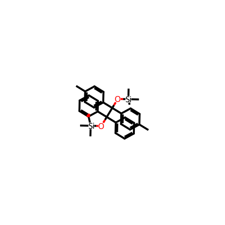 Cc1ccc(C(O[Si](C)(C)C)(c2ccc(C)cc2)C(O[Si](C)(C)C)(c2ccccc2)c2ccccc2)cc1